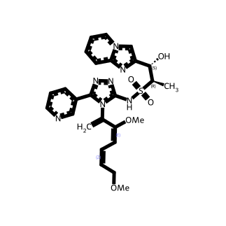 C=C(/C(=C\C=C/COC)OC)n1c(NS(=O)(=O)[C@H](C)[C@@H](O)c2cn3ccccc3n2)nnc1-c1cccnc1